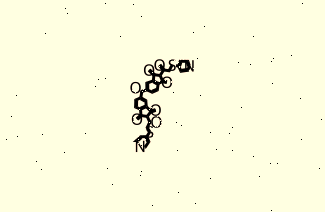 O=C(c1ccc2c(c1)C(=O)C(C(=O)CSc1ccncc1)C2=O)c1ccc2c(c1)C(=O)C(C(=O)CSc1ccncc1)C2=O